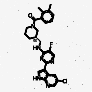 Cc1cccc(C(=O)N2CCC[C@@H](CNc3nc(-c4c[nH]c5ncc(Cl)cc45)ncc3F)C2)c1C